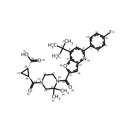 CC(C)(C)c1cc(-c2ccc(F)cc2)nc2cc(C(=O)N3CCN(C(=O)[C@H]4C[C@@H]4C(=O)O)CC3(C)C)oc12